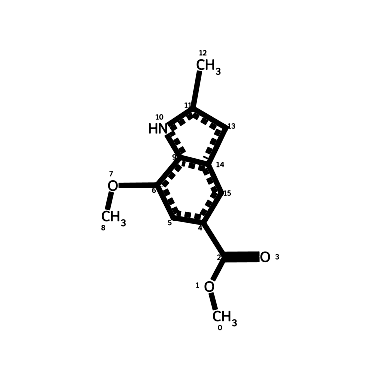 COC(=O)c1cc(OC)c2[nH]c(C)cc2c1